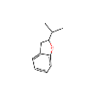 CC(C)C1Cc2ccccc2O1